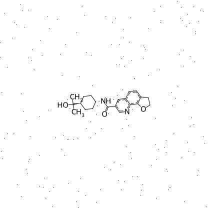 CC(C)(O)[C@H]1CC[C@H](NC(=O)c2cnc3c4c(ccc3c2)CCO4)CC1